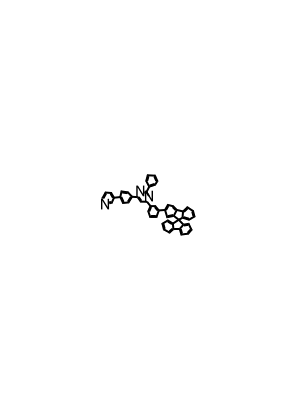 c1ccc(-c2nc(-c3ccc(-c4cccnc4)cc3)cc(-c3cccc(-c4ccc5c(c4)C4(c6ccccc6-c6ccccc64)c4ccccc4-5)c3)n2)cc1